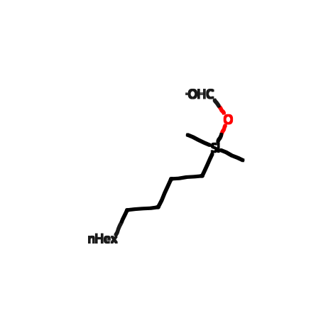 CCCCCCCCCC[Si](C)(C)O[C]=O